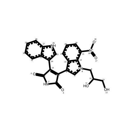 O=C1NC(=O)C(c2cn(CC(O)CO)c3c([N+](=O)[O-])cccc23)=C1c1c[nH]c2ccccc12